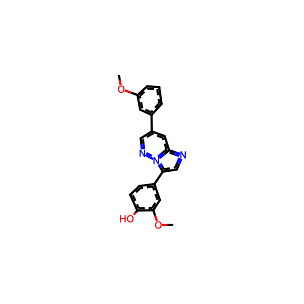 COc1cccc(-c2cnn3c(-c4ccc(O)c(OC)c4)cnc3c2)c1